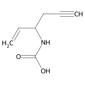 C#CCC(C=C)NC(=O)O